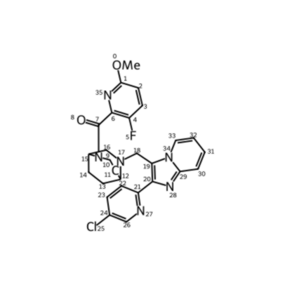 COc1ccc(F)c(C(=O)N2CCC3CCC2CN3Cc2c(-c3ccc(Cl)cn3)nc3ccccn23)n1